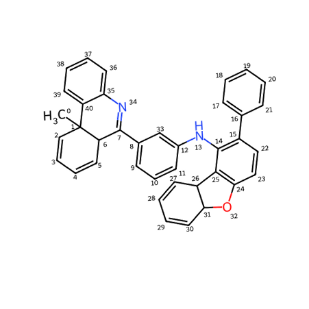 CC12C=CC=CC1C(c1cccc(Nc3c(-c4ccccc4)ccc4c3C3C=CC=CC3O4)c1)=Nc1ccccc12